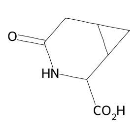 O=C1CC2CC2C(C(=O)O)N1